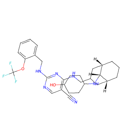 N#Cc1cnc(NCc2ccccc2OC(F)(F)F)nc1NCC1C[C@H]2CCC[C@@H](C1)[C@H]2NC1CCC(O)CC1